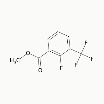 COC(=O)c1cccc(C(F)(F)F)c1F